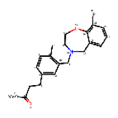 COC(=O)CCc1ccc(C)c(CN2CCOc3c(cccc3C(C)C)C2)c1